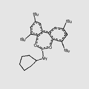 CC(C)(C)c1cc(C(C)(C)C)c2op(NC3CCCCC3)oc3c(C(C)(C)C)cc(C(C)(C)C)cc3c2c1